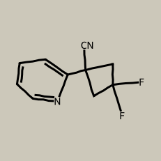 N#CC1(c2ccccn2)CC(F)(F)C1